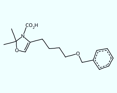 CC1(C)OC=C(CCCCOCc2ccccc2)N1C(=O)O